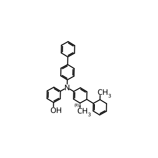 CC1CC=CC=C1C1C=CC(N(c2ccc(-c3ccccc3)cc2)c2cccc(O)c2)=C[C@@H]1C